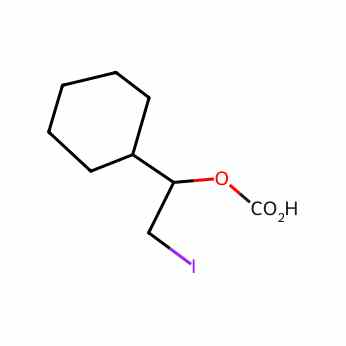 O=C(O)OC(CI)C1CCCCC1